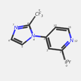 CC(C)c1cc(-n2ccnc2C(F)(F)F)ccn1